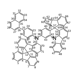 c1ccc2c(c1)-c1ccccc1C21c2ccccc2-c2c(N(c3ccc(-c4cccc5ccccc45)cc3)c3ccc4c(c3)-n3c5ccccc5c5cccc(c53)C43c4ccccc4-c4ccccc43)cccc21